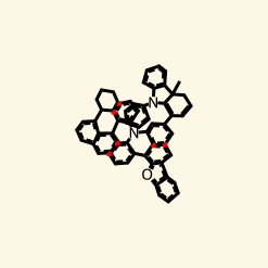 CC12CC=CC(c3cccc(N(c4ccccc4-c4cccc5c4oc4ccccc45)c4ccccc4-c4cccc5cccc(C6CCCCC6)c45)c3)=C1N(c1ccccc1)c1ccccc12